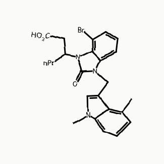 CCCC(CC(=O)O)n1c(=O)n(Cc2cn(C)c3cccc(C)c23)c2cccc(Br)c21